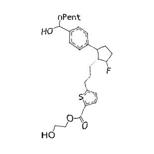 CCCCCC(O)c1ccc(C2CCC(F)[C@@H]2CCCc2ccc(C(=O)OCCO)s2)cc1